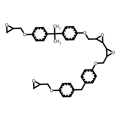 CC(C)(c1ccc(OCC2CO2)cc1)c1ccc(OCC2OC2C2OC2COc2ccc(Cc3ccc(OCC4CO4)cc3)cc2)cc1